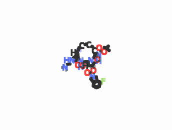 CN(C)CCNC(=O)[C@@]12C[C@H]1/C=C\CCCCC[C@H](NC(=O)OC(C)(C)C)C(=O)N1C[C@H](OC(=O)N3Cc4cccc(F)c4C3)C[C@H]1C(=O)N2